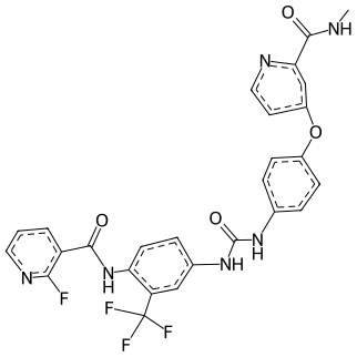 CNC(=O)c1cc(Oc2ccc(NC(=O)Nc3ccc(NC(=O)c4cccnc4F)c(C(F)(F)F)c3)cc2)ccn1